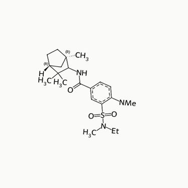 CCN(C)S(=O)(=O)c1cc(C(=O)NC2C(C)(C)[C@@H]3CC[C@]2(C)C3)ccc1NC